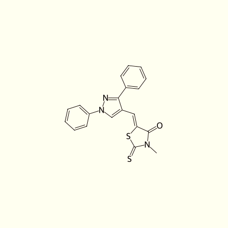 CN1C(=O)/C(=C/c2cn(-c3ccccc3)nc2-c2ccccc2)SC1=S